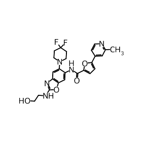 Cc1cc(-c2ccc(C(=O)Nc3cc4oc(NCCO)nc4cc3N3CCC(F)(F)CC3)o2)ccn1